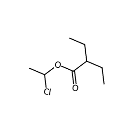 CCC(CC)C(=O)OC(C)Cl